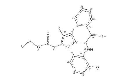 CCOC(=O)Oc1cc(C(Nc2ccccc2Cl)C(=O)c2ccccc2)oc1C